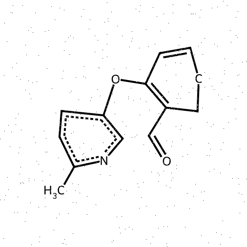 Cc1ccc(OC2=C(C=O)CCC=C2)cn1